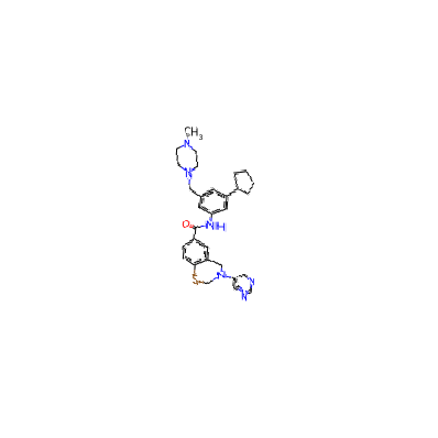 CN1CCN(Cc2cc(NC(=O)c3ccc4c(c3)CN(c3cncnc3)CS4)cc(C3CCCC3)c2)CC1